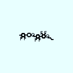 CCCCOc1ccc(-c2ccc(COC3CCC(c4ccc(C)c(F)c4F)CC3)c(F)c2F)c(F)c1F